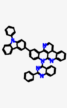 c1ccc(-c2nc(N3c4ccc(-c5ccc6c(c5)c5ccccc5n6-c5ccccc5)cc4-c4nccc5c4c3nc3ccccc35)c3ccccc3n2)cc1